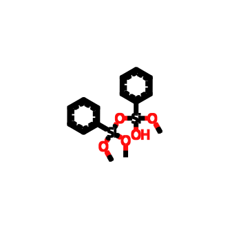 CO[Si](O)(O[Si](OC)(OC)c1ccccc1)c1ccccc1